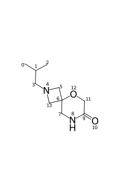 CC(C)CN1CC2(CNC(=O)CO2)C1